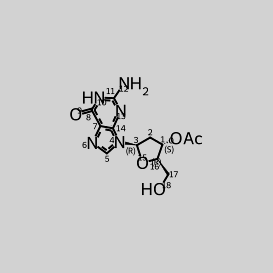 CC(=O)O[C@H]1C[C@H](n2cnc3c(=O)[nH]c(N)nc32)O[C@@H]1CO